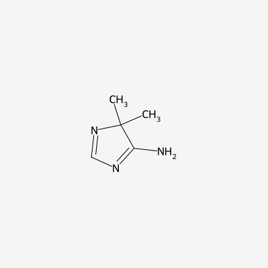 CC1(C)N=CN=C1N